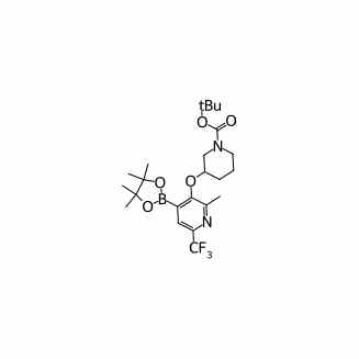 Cc1nc(C(F)(F)F)cc(B2OC(C)(C)C(C)(C)O2)c1OC1CCCN(C(=O)OC(C)(C)C)C1